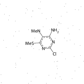 CNc1c(N)nc(Cl)nc1SC